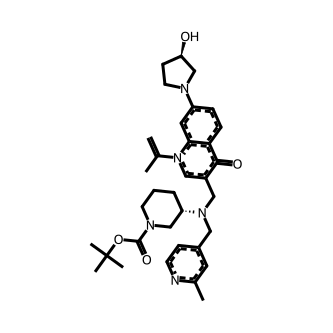 C=C(C)n1cc(CN(Cc2ccnc(C)c2)[C@H]2CCCN(C(=O)OC(C)(C)C)C2)c(=O)c2ccc(N3CC[C@@H](O)C3)cc21